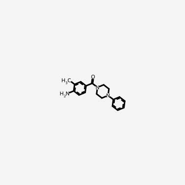 Cc1cc(C(=O)N2CCN(c3ccccc3)CC2)ccc1N